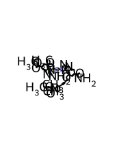 COC(=O)c1cc(OC)c2c(c1)nc(N)n2C/C=C/Cn1c(N)nc2cc(C(N)=O)cc(OCC#CC3CCN(C(=O)OC(C)(C)C)C3)c21